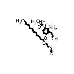 C#CCc1cccc(OC(=O)NC)c1N.CCCCCCCCCCCC(=O)OCCSC#N